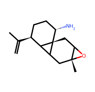 C=C(C)[C@H]1CC[C@H](N)[C@]23CC4O[C@]4(C)CC2C13